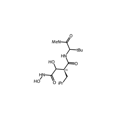 CNC(=O)C(NC(=O)[C@@H](CC(C)C)C(O)C(=O)NO)C(C)(C)C